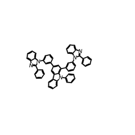 c1ccc(-c2nc3ccccc3n2-c2cccc(-c3cc(-c4cccc(-n5c(-c6ccccc6)nc6ccccc65)c4)c4c(c3)c3ccccc3n4-c3ccccc3)c2)cc1